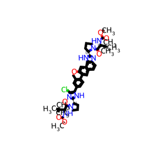 COC(=O)N[C@H](C(=O)N1CCC[C@H]1c1nc(Cl)c(-c2ccc3c(c2)COc2cc4c(ccc5nc([C@@H]6CCCN6C(=O)[C@@H](NC(=O)OC)C(C)(C)C)[nH]c54)cc2-3)[nH]1)C(C)(C)C